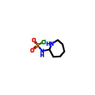 O=S(=O)(Cl)NC1CCCCCN1